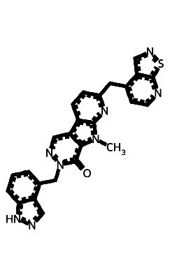 Cn1c2nc(Cc3ccnc4sncc34)ccc2c2cnn(Cc3cccc4[nH]ncc34)c(=O)c21